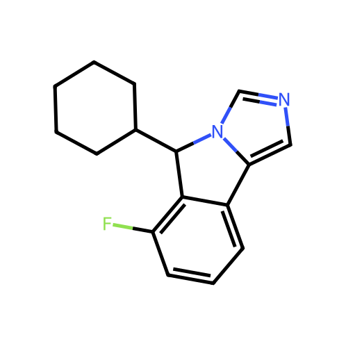 Fc1cccc2c1C(C1CCCCC1)n1cncc1-2